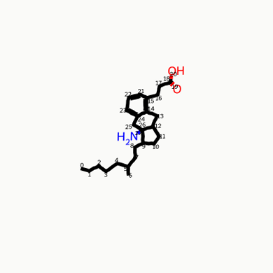 CCCCCC(C)CCC1CCC2Cc3c(CCC(=O)O)cccc3CC12N